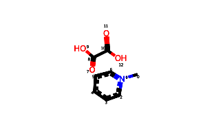 C[n+]1ccccc1.O=C(O)C(=O)O